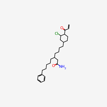 C=CC(=O)C1CCC(CCCCC(CCCCCc2ccccc2)CC(N)=O)CC1Cl